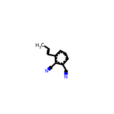 CC=Cc1cccc(C#N)c1C#N